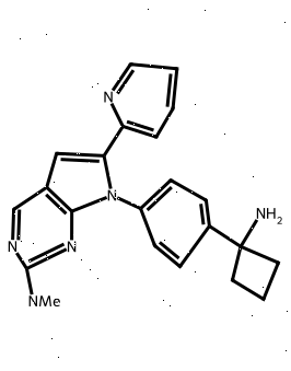 CNc1ncc2cc(-c3ccccn3)n(-c3ccc(C4(N)CCC4)cc3)c2n1